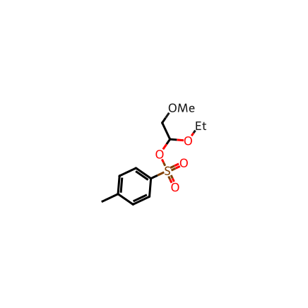 CCOC(COC)OS(=O)(=O)c1ccc(C)cc1